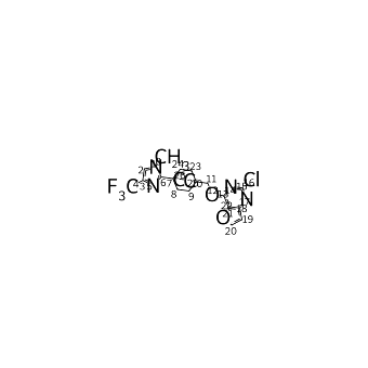 Cn1cc(C(F)(F)F)nc1C12CCC(COc3nc(Cl)nc4ccoc34)(CC1)CC2